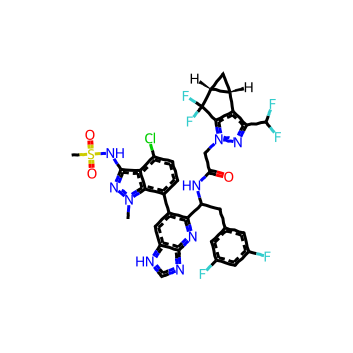 Cn1nc(NS(C)(=O)=O)c2c(Cl)ccc(-c3cc4[nH]cnc4nc3C(Cc3cc(F)cc(F)c3)NC(=O)Cn3nc(C(F)F)c4c3C(F)(F)[C@@H]3C[C@H]43)c21